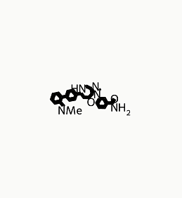 CNCc1ccccc1-c1ccc(C2CC(=O)c3c(ncn3-c3cccc(C(N)=O)c3)CN2)cc1